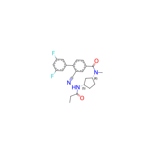 CCC(=O)N[C@H]1CC[C@@H](N(C)C(=O)c2ccc(-c3cc(F)cc(F)c3)c(C#N)c2)C1